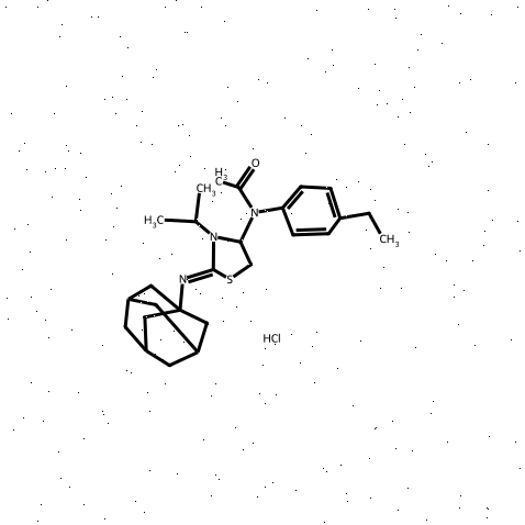 CCc1ccc(N(C(C)=O)C2CSC(=NC34CC5CC(CC(C5)C3)C4)N2C(C)C)cc1.Cl